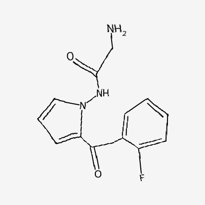 NCC(=O)Nn1cccc1C(=O)c1ccccc1F